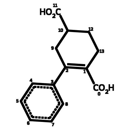 O=C(O)C1=C(c2ccccc2)CC(C(=O)O)CC1